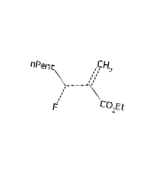 C=C(C(=O)OCC)C(F)CCCCC